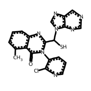 Cc1cccc2nc(C(S)n3cnc4cncnc43)n(-c3cccnc3Cl)c(=O)c12